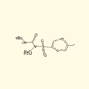 CCCCNC(=O)N(OC)S(=O)(=O)c1ccc(C)cc1